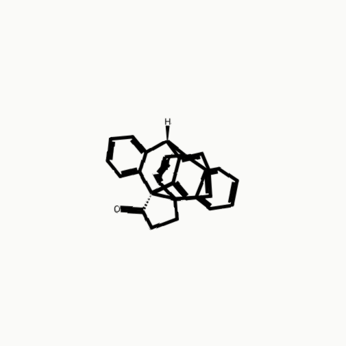 O=C1CCC23c4ccccc4C(c4ccccc42)[C@H]2c4ccccc4[C@]13c1ccccc12